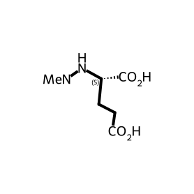 CNN[C@@H](CCC(=O)O)C(=O)O